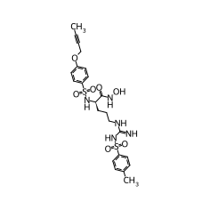 CC#CCOc1ccc(S(=O)(=O)N[C@H](CCCNC(=N)NS(=O)(=O)c2ccc(C)cc2)C(=O)NO)cc1